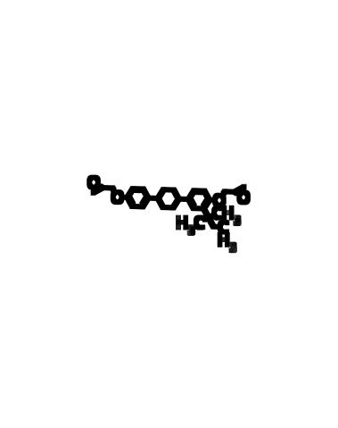 CCC(C)(C)c1cc(C2CCC(c3ccc(OCC4CO4)cc3)CC2)ccc1OCC1CO1